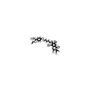 CCOC(=N)c1ccc(OCCCCCOc2c(Br)cc(C(=O)N(C(C)C)C(C)C)cc2Br)cc1